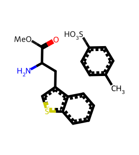 COC(=O)C(N)Cc1csc2ccccc12.Cc1ccc(S(=O)(=O)O)cc1